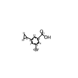 O=C(O)c1cc(Br)cc(C2CC2)c1